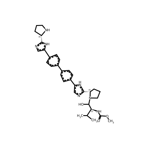 COC(=O)N[C@@H](C(C)C)C(O)N1CCC[C@H]1c1ncc(-c2ccc(-c3ccc(-c4cnc([C@@H]5CCCN5)[nH]4)cc3)cc2)[nH]1